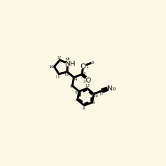 COC(=O)C(Cc1cccc(C#N)c1)C1CCCN1